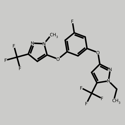 CCn1nc(Oc2cc(F)cc(Oc3cc(C(F)(F)F)nn3C)c2)cc1C(F)(F)F